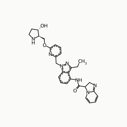 CCc1nn(Cc2cccc(OC[C@H]3NCC[C@@H]3O)n2)c2cccc(NC(=O)C3CN=C4C=CC=CN43)c12